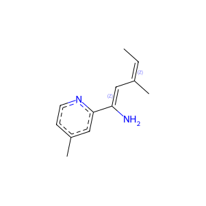 C/C=C(C)\C=C(/N)c1cc(C)ccn1